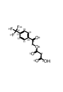 O=C(O)CC(=O)OCC(=O)c1ccc(C(F)(F)F)cc1